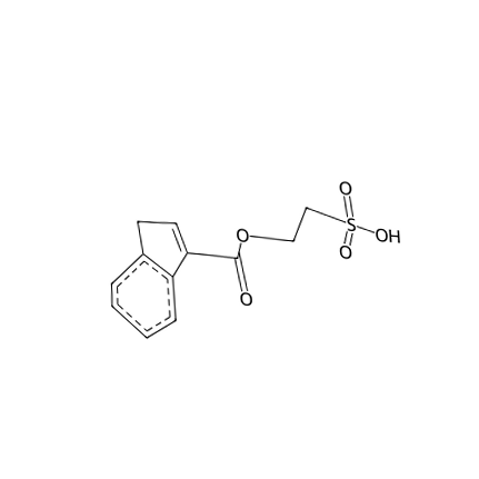 O=C(OCCS(=O)(=O)O)C1=CCc2ccccc21